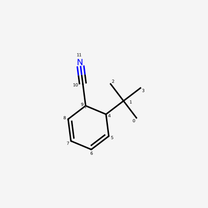 CC(C)(C)C1C=CC=C[C]1C#N